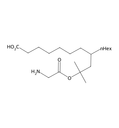 CCCCCCC(CCCCCCC(=O)O)CC(C)(C)OC(=O)CN